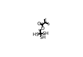 CC(I)C(=O)OCC(S)(S)S